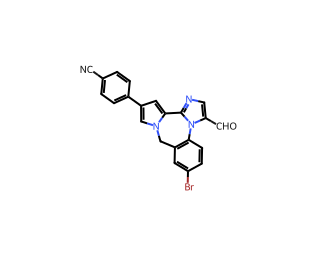 N#Cc1ccc(-c2cc3n(c2)Cc2cc(Br)ccc2-n2c(C=O)cnc2-3)cc1